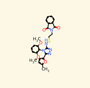 COc1cccc(OC)c1-n1c(NSCCN2C(=O)c3ccccc3C2=O)nnc1-c1ccc(C)o1